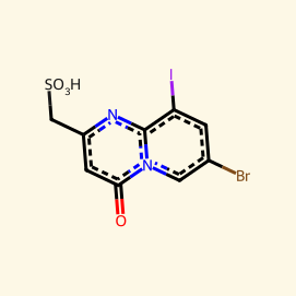 O=c1cc(CS(=O)(=O)O)nc2c(I)cc(Br)cn12